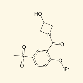 CC(C)Oc1ccc(S(C)(=O)=O)cc1C(=O)N1CC(O)C1